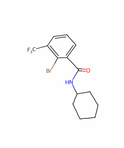 O=C(NC1CCCCC1)c1cccc(C(F)(F)F)c1Br